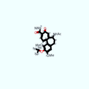 [2H]C([2H])([2H])Oc1c(OC)cc2c(c1OC)-c1ccc(C(=O)NC)c(=O)cc1C(NC(C)=O)CC2